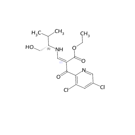 CCOC(=O)/C(=C\N[C@H](CO)C(C)C)C(=O)c1ncc(Cl)cc1Cl